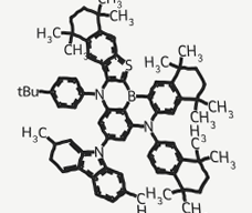 Cc1ccc2c3c(n(-c4cc5c6c(c4)N(c4ccc(C(C)(C)C)cc4)c4c(sc7cc8c(cc47)C(C)(C)CCC8(C)C)B6c4cc6c(cc4N5c4ccc5c(c4)C(C)(C)CCC5(C)C)C(C)(C)CCC6(C)C)c2c1)=CC(C)CC=3